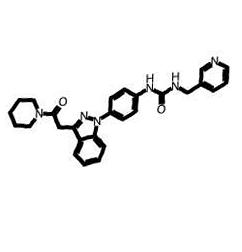 O=C(NCc1cccnc1)Nc1ccc(-n2nc(CC(=O)N3CCCCC3)c3ccccc32)cc1